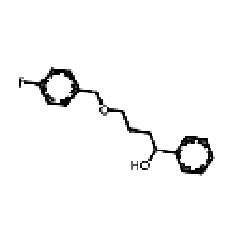 OC(CCCOCc1ccc(F)cc1)c1ccccc1